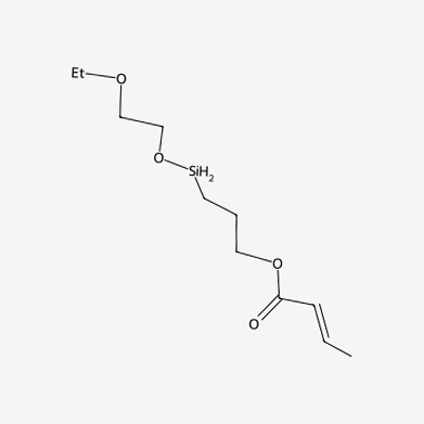 CC=CC(=O)OCCC[SiH2]OCCOCC